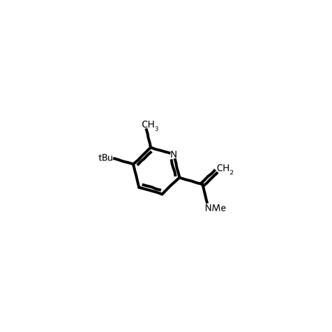 C=C(NC)c1ccc(C(C)(C)C)c(C)n1